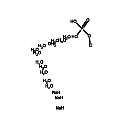 O.O.O.O.O.O.O.O.O.O.O.O.O=P(O)(O)OCl.[NaH].[NaH].[NaH]